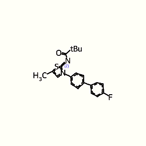 Cc1cn(-c2ccc(-c3ccc(F)cc3)cc2)/c(=N/C(=O)C(C)(C)C)s1